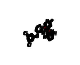 Cc1cc(N2C[C@H]3CC[C@@H](C2)C3Nc2nc3n(n2)CCC[C@@H]3Oc2cc(Cl)cc(Cl)c2)ncn1